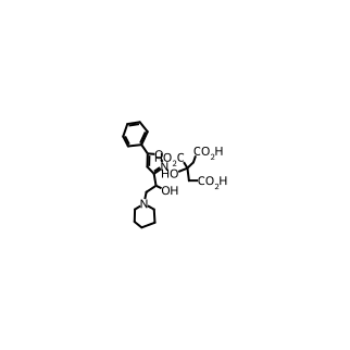 O=C(O)CC(O)(CC(=O)O)C(=O)O.OC(CN1CCCCC1)c1cc(-c2ccccc2)on1